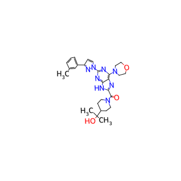 Cc1cccc(-c2ccn(-c3nc(N4CCOCC4)c4nc(C(=O)N5CCC(C(C)(C)O)CC5)[nH]c4n3)n2)c1